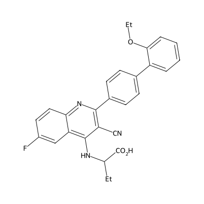 CCOc1ccccc1-c1ccc(-c2nc3ccc(F)cc3c(NC(CC)C(=O)O)c2C#N)cc1